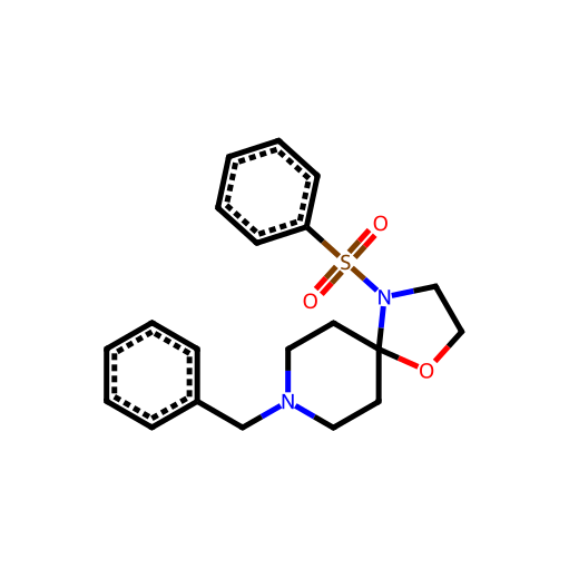 O=S(=O)(c1ccccc1)N1CCOC12CCN(Cc1ccccc1)CC2